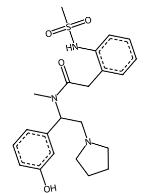 CN(C(=O)Cc1ccccc1NS(C)(=O)=O)C(CN1CCCC1)c1cccc(O)c1